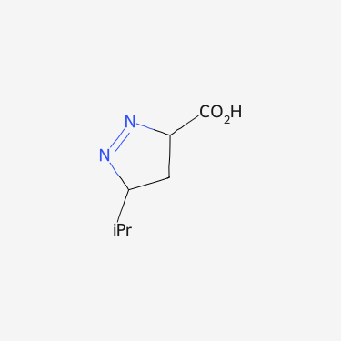 CC(C)C1CC(C(=O)O)N=N1